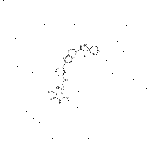 CC1(C(=O)Nc2ccc3sc(-c4ccnc(NCCN5C(=O)NC(=O)C5(C)C)n4)cc3c2)C=CN=CC1